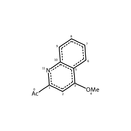 [CH2]C(=O)c1cc(OC)c2ccccc2n1